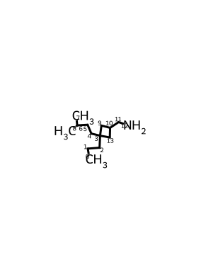 CCCC1(CCC(C)C)CC(CN)C1